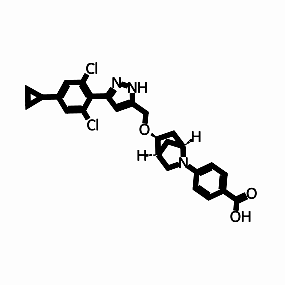 O=C(O)c1ccc(N2C[C@@H]3C[C@H]2C[C@H]3OCc2cc(-c3c(Cl)cc(C4CC4)cc3Cl)n[nH]2)cc1